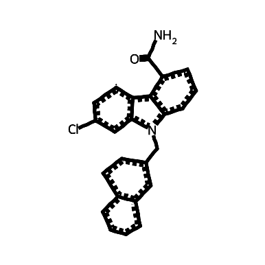 NC(=O)c1cccc2c1c1[c]cc(Cl)cc1n2Cc1ccc2ccccc2c1